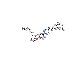 CCCCCC[C@@H](C)Oc1ccc(-c2ncc(CCCCC(C)CC)cn2)cc1